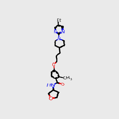 CCc1cnc(N2CCC(CCCOc3ccc(C(=O)NC4CCOC4)c(C)c3)CC2)nc1